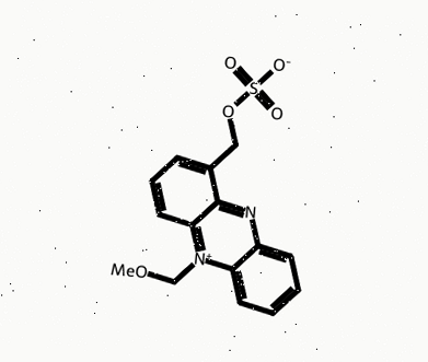 COC[n+]1c2ccccc2nc2c(COS(=O)(=O)[O-])cccc21